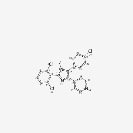 Cn1c(-c2c(Cl)cccc2Cl)nc(-c2ccncc2)c1-c1ccc(Cl)cc1